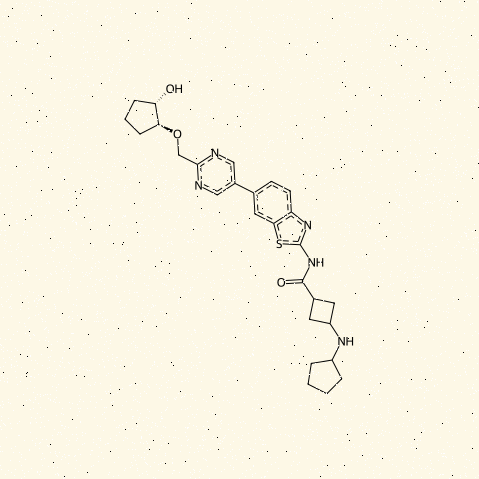 O=C(Nc1nc2ccc(-c3cnc(CO[C@H]4CCC[C@@H]4O)nc3)cc2s1)C1CC(NC2CCCC2)C1